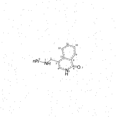 CCCNCc1c[nH]c(=O)c2ccccc12